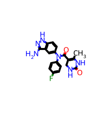 CC1=C(C(=O)N(c2ccc(F)cc2)c2ccc3[nH]nc(N)c3c2)CNC(=O)N1